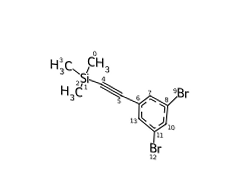 C[Si](C)(C)C#Cc1cc(Br)cc(Br)c1